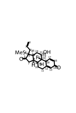 C=CC[C@]1(SC)C(=O)C[C@H]2[C@@H]3CCC4=CC(=O)C=C[C@]4(C)C3(F)[C@@H](O)C[C@@]21C